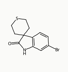 O=C1Nc2cc(Br)ccc2C12CCSCC2